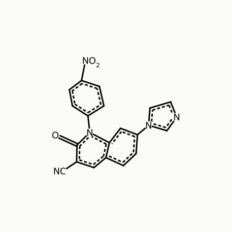 N#Cc1cc2ccc(-n3ccnc3)cc2n(-c2ccc([N+](=O)[O-])cc2)c1=O